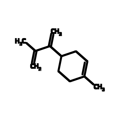 C=C(C)C(=C)C1CC=C(C)CC1